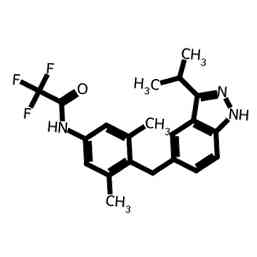 Cc1cc(NC(=O)C(F)(F)F)cc(C)c1Cc1ccc2[nH]nc(C(C)C)c2c1